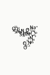 O=C([O-])CN1CCN(c2ccccc2NC(=O)c2csc(N3CCOCC3)n2)CC1.[Na+]